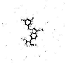 Cc1noc(C)c1-c1ccc2c(C)cn(Cc3cc(F)cc(F)c3)c2c1